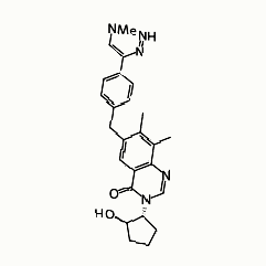 CN/C=C(\N=N)c1ccc(Cc2cc3c(=O)n([C@@H]4CCC[C@H]4O)cnc3c(C)c2C)cc1